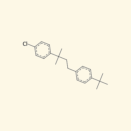 CC(C)(C)c1ccc(CCC(C)(C)c2ccc(Cl)cc2)cc1